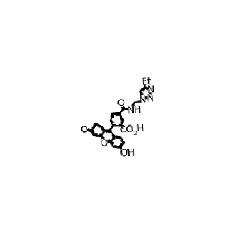 CCc1cn(CCNC(=O)c2ccc(-c3c4ccc(=O)cc-4oc4cc(O)ccc34)c(C(=O)O)c2)nn1